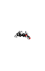 CC(=O)N1c2ccc(-c3ccc(C(=O)NCc4ncco4)cc3)cc2N(C(=O)O)C[C@@H]1C